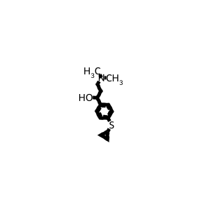 CN(C)CCC(O)c1ccc(SC2CC2)cc1